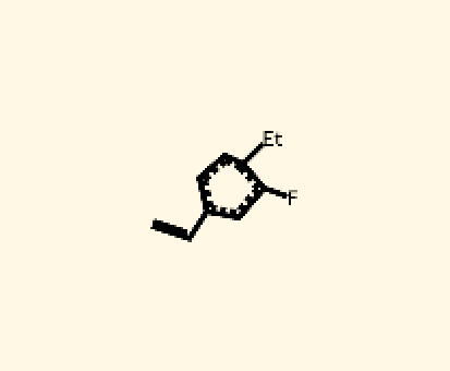 C=Cc1ccc(CC)c(F)c1